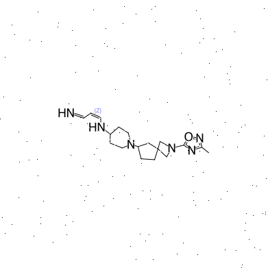 Cc1noc(N2CC3(CCC(N4CCC(N/C=C\C=N)CC4)C3)C2)n1